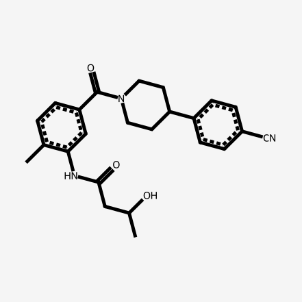 Cc1ccc(C(=O)N2CCC(c3ccc(C#N)cc3)CC2)cc1NC(=O)CC(C)O